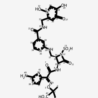 CC(C)(ON=C(C(=O)N[C@@H]1C(=O)N(S(=O)(=O)O)[C@@H]1CNc1cc(C(=O)NCc2cc(=O)c(O)cn2O)ccn1)c1csc(N)n1)C(=O)O